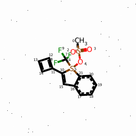 CS(=O)(=O)OS1(C(F)(F)F)C(C2=CC=C2)=Cc2ccccc21